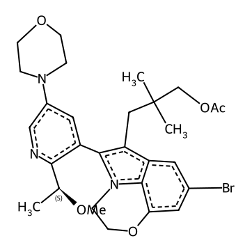 CO[C@@H](C)c1ncc(N2CCOCC2)cc1-c1c(CC(C)(C)COC(C)=O)c2cc(Br)cc3c2n1CCO3